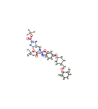 CC(C)(C)OC(=O)N1CC[C@H](CN(C(=O)OC(C)(C)C)c2nc3ccc(OC4CCC(COc5c(F)cccc5F)CC4)cc3o2)C1